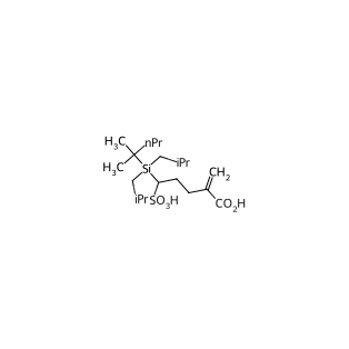 C=C(CCC([Si](CC(C)C)(CC(C)C)C(C)(C)CCC)S(=O)(=O)O)C(=O)O